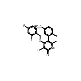 Cc1[nH]c(=O)c(Cl)c(OCc2ccc(F)cc2F)c1-c1cc(C(=O)O)ccc1F